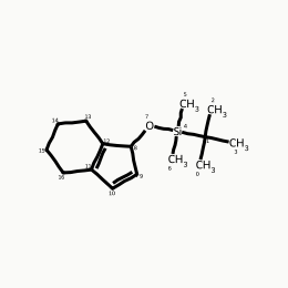 CC(C)(C)[Si](C)(C)OC1[C]=CC2=C1CCCC2